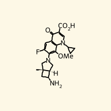 COc1c(N2C[C@H]3[C@@H](N)C[C@]3(C)C2)c(F)cc2c(=O)c(C(=O)O)cn(C3CC3)c12